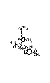 CC(=O)N1CC[C@H]2CC[C@@H](C(=O)N[C@@H](CCC(N)=O)COc3cc(C)cc(CCCCC(N)=O)c3F)N2C(=O)[C@@H](N)C1